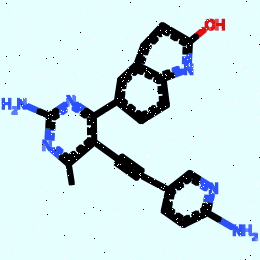 Cc1nc(N)nc(-c2ccc3nc(O)ccc3c2)c1C#Cc1ccc(N)nc1